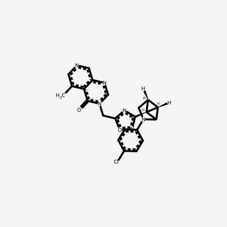 Cc1cncc2ncn(Cc3nc([C@]45C6[C@H]4[C@H]5CN6c4ccc(Cl)cc4)no3)c(=O)c12